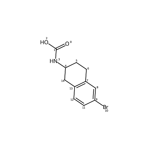 O=C(O)NC1CCc2cc(Br)ccc2C1